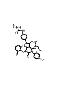 COCCN(C)Cc1c(-c2ccc(NC(=O)NOC)cc2)sc2c1c(=O)n(-c1ccc(Br)cn1)c(=O)n2Cc1c(F)cccc1F